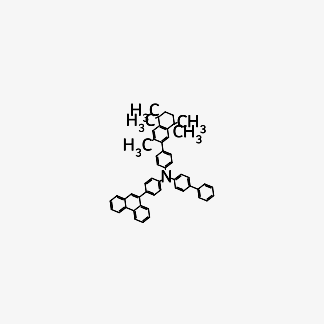 Cc1cc2c(cc1-c1ccc(N(c3ccc(-c4ccccc4)cc3)c3ccc(-c4cc5ccccc5c5ccccc45)cc3)cc1)C(C)(C)CCC2(C)C